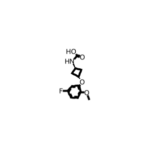 COc1ccc(F)cc1O[C@H]1C[C@H](NC(=O)O)C1